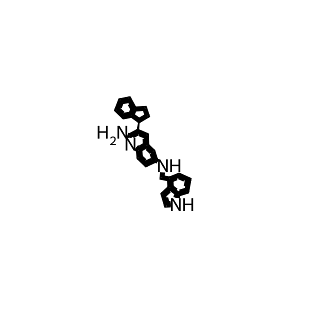 Nc1nc2ccc(NCc3cccc4[nH]ccc34)cc2cc1[C@@H]1CCc2ccccc21